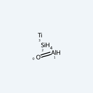 [O]=[AlH].[SiH4].[Ti]